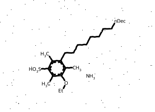 CCCCCCCCCCCCCCCCCCc1c(C)c(OCC)c(C)c(S(=O)(=O)O)c1C.N